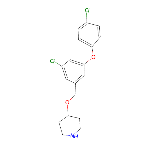 Clc1ccc(Oc2cc(Cl)cc(COC3CCNCC3)c2)cc1